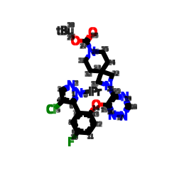 CC(C)n1ncc(Cl)c1-c1cc(F)ccc1Oc1nncnc1N1CC2(CCN(C(=O)OC(C)(C)C)CC2)C1